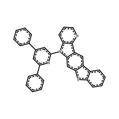 c1ccc(-c2cc(-c3ccccc3)nc(-n3c4cc5sc6ccccc6c5cc4c4ncccc43)c2)cc1